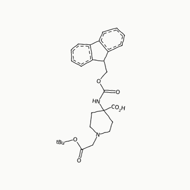 CC(C)(C)OC(=O)CN1CCC(NC(=O)OCC2c3ccccc3-c3ccccc32)(C(=O)O)CC1